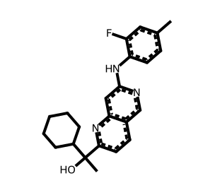 Cc1ccc(Nc2cc3nc(C(C)(O)C4CCCCC4)ccc3cn2)c(F)c1